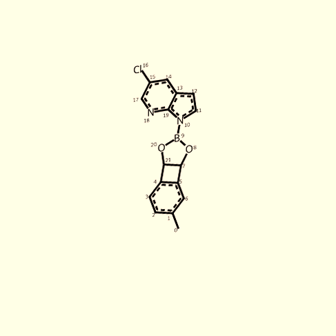 Cc1ccc2c(c1)C1OB(n3ccc4cc(Cl)cnc43)OC21